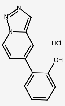 Cl.Oc1ccccc1-c1ccn2nncc2c1